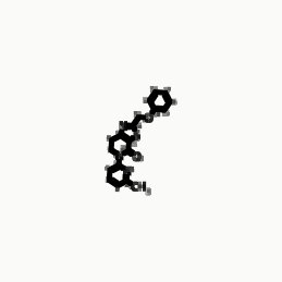 Cc1cccc(N2CCc3nc(COc4ccccc4)sc3C2=O)n1